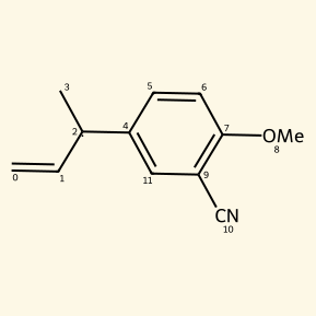 C=C[C](C)c1ccc(OC)c(C#N)c1